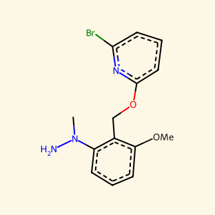 COc1cccc(N(C)N)c1COc1cccc(Br)n1